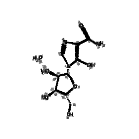 NC(=O)c1ncn([C@@H]2O[C@H](CO)[C@@H](O)[C@H]2O)c1O.O